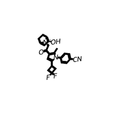 Cc1c(C(=O)CN2C3CCC2[C@@H](O)C3)cc(C2CC(F)(F)C2)n1-c1ccc(C#N)cc1